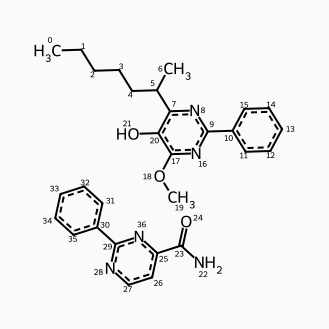 CCCCCC(C)c1nc(-c2ccccc2)nc(OC)c1O.NC(=O)c1ccnc(-c2ccccc2)n1